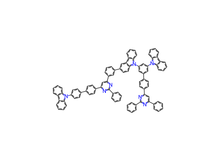 c1ccc(-c2cc(-c3ccc(-c4cc(-n5c6ccccc6c6ccccc65)cc(-n5c6ccccc6c6cc(-c7cccc(-c8cc(-c9ccc(-c%10ccc(-n%11c%12ccccc%12c%12ccccc%12%11)cc%10)cc9)nc(-c9ccccc9)n8)c7)ccc65)c4)cc3)nc(-c3ccccc3)n2)cc1